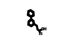 CCC(O)CCc1cccc(-c2ccccc2)c1